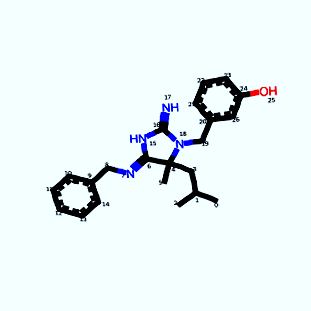 CC(C)CC1(C)/C(=N/Cc2ccccc2)NC(=N)N1Cc1cccc(O)c1